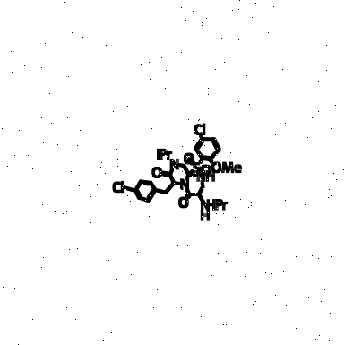 COc1ccc(Cl)cc1S(=O)(=O)C12CN(C(C)C)C(=O)C(Cc3ccc(Cl)cc3)N1C(=O)C(NC(C)C)CN2